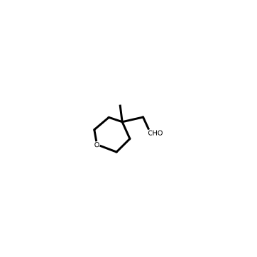 CC1(CC=O)CCOCC1